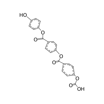 O=C(O)Oc1ccc(C(=O)Oc2ccc(C(=O)Oc3ccc(O)cc3)cc2)cc1